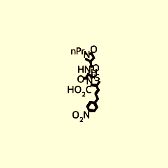 CCCN1CC(C(=O)NC2C(=O)N3C(C(=O)O)=C(C=CCc4ccc([N+](=O)[O-])cc4)CS[C@@H]23)CC1=O